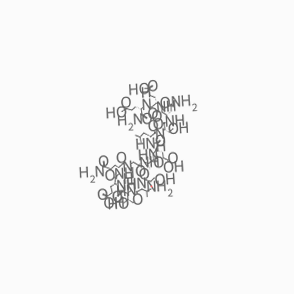 CC(C)C[C@H](NC(=O)[C@H](CCC(=O)O)NC(=O)[C@H](C)NC(=O)CNC(=O)[C@H](CCC(N)=O)NC(=O)[C@H](CCC(=O)O)NC(=O)[C@@H](NC(=O)[C@@H](NC(=O)[C@@H](N)CO)C(C)C)[C@@H](C)O)C(=O)N[C@@H](CO)C(=O)N[C@@H](CC(N)=O)C(=O)N[C@@H](CCC(=O)O)C(=O)N[C@@H](CCC(=O)O)C(N)=O